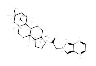 COC[C@]12CC[C@@](C)(O)C[C@@H]1CC[C@H]1[C@@H]3CC[C@H](C(=O)Cn4cc5nccnc5n4)[C@@]3(C)CC[C@@H]12